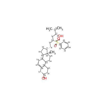 CC(C)C(O)CC(CC[C@H]1CCC2C3CC=C4CC(O)CCC4C3CCC21C)S(=O)(=O)c1ccccc1